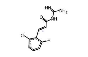 N=C(N)NC(=O)/C=C/c1c(F)cccc1Cl